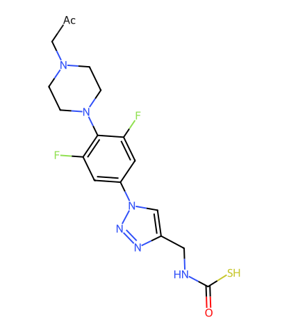 CC(=O)CN1CCN(c2c(F)cc(-n3cc(CNC(=O)S)nn3)cc2F)CC1